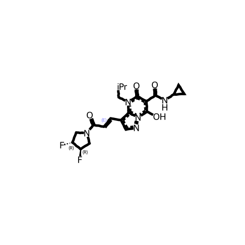 CC(C)Cn1c(=O)c(C(=O)NC2CC2)c(O)n2ncc(/C=C/C(=O)N3C[C@@H](F)[C@H](F)C3)c12